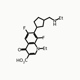 CCNCC1CCC(c2c(F)cc3c(=O)c(C(=O)O)cn(CC)c3c2F)C1